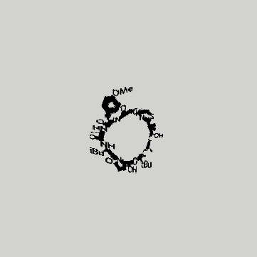 CC[C@H](C)[C@@H]1NC(=O)[C@H](C)NC(=O)[C@H](Cc2ccc(OC)cc2)NC(=O)CC[C@@H]2CSC(=N2)C(C)(C)[C@@H](O)C[C@H](C)C[C@@H](C(C)(C)C)OC(O)[C@@H]2CCCN2C1=O